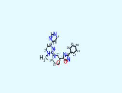 CN1CC=C(c2ccncn2)N=C1N1CCOC(c2nc(-c3ccccc3)no2)C1